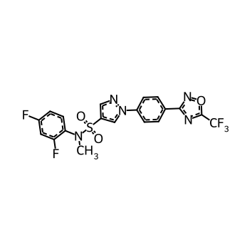 CN(c1ccc(F)cc1F)S(=O)(=O)c1cnn(-c2ccc(-c3noc(C(F)(F)F)n3)cc2)c1